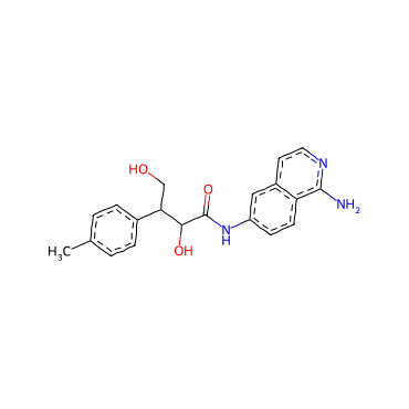 Cc1ccc(C(CO)C(O)C(=O)Nc2ccc3c(N)nccc3c2)cc1